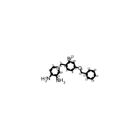 Nc1cc[n+](Cc2ccc(OCc3ccccc3)cc2)cc1N.[Br-]